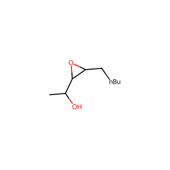 CCCCCC1OC1C(C)O